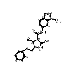 Cn1ncc2ccc(NC(=O)C3C(=O)NC(CCc4ccccc4)C3O)cc21